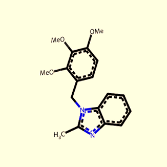 COc1ccc(Cn2c(C)nc3ccccc32)c(OC)c1OC